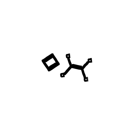 C1=CC=C1.ClC(Cl)=C(Cl)Cl